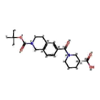 CC(C)(C)OC(=O)N1CCc2cc(C(=O)N3CCC[C@@H](C(=O)O)C3)ccc2C1